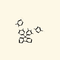 CC(C)c1cc(N)ccc1Oc1c(C(F)(F)F)cc(C2(c3cc(C(F)(F)F)c(Oc4ccc(N)cc4C(C)C)c(C(F)(F)F)c3)c3ccccc3-c3ccccc32)cc1C(F)(F)F